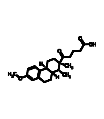 COc1ccc2c(c1)CC[C@@H]1[C@@H]2CC[C@](C)(C(=O)CCCC(=O)O)[C@H]1C